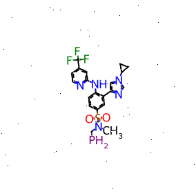 CN(CP)S(=O)(=O)c1ccc(Nc2cc(C(F)(F)F)ccn2)c(-c2cn(C3CC3)cn2)c1